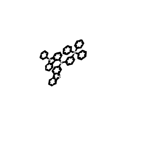 c1ccc(-n2c3ccccc3c3c(N(c4cccc([Si](c5ccccc5)(c5ccccc5)c5ccccc5)c4)c4ccc5c(c4)sc4ccccc45)cccc32)cc1